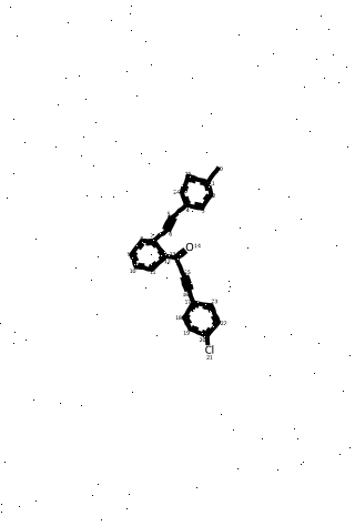 Cc1ccc(C#Cc2ccccc2C(=O)C#Cc2ccc(Cl)cc2)cc1